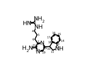 N=C(N)NCCCc1nc(C2CNc3ccccc32)cnc1N